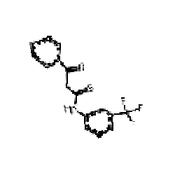 O=C(CC(=S)Nc1cccc(C(F)(F)F)c1)c1ccccc1